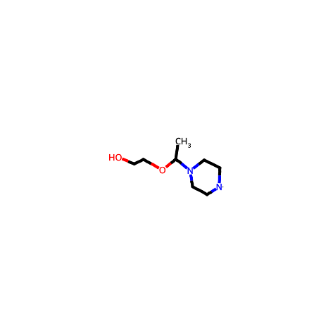 CC(OCCO)N1CC[N]CC1